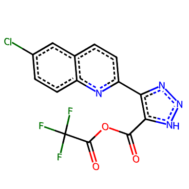 O=C(OC(=O)C(F)(F)F)c1[nH]nnc1-c1ccc2cc(Cl)ccc2n1